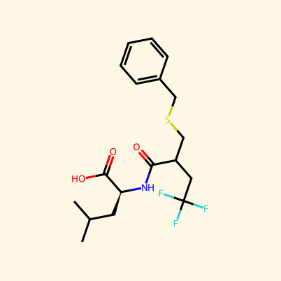 CC(C)C[C@H](NC(=O)C(CSCc1ccccc1)CC(F)(F)F)C(=O)O